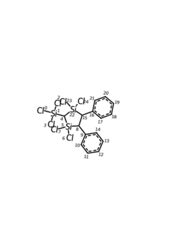 Cl[Si](Cl)(Cl)C1[Si](Cl)(Cl)C(c2ccccc2)C(c2ccccc2)[Si]1(Cl)Cl